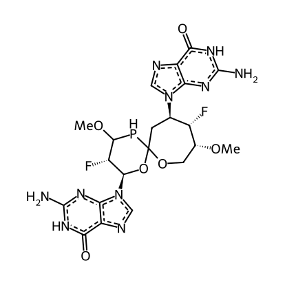 COC1PC2(C[C@@H](n3cnc4c(=O)[nH]c(N)nc43)[C@H](F)[C@H](OC)CO2)O[C@@H](n2cnc3c(=O)[nH]c(N)nc32)[C@@H]1F